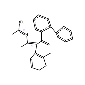 C=C(/C(C1=C(C)CCC=C1)=C(C)\N=C(/C)C(C)(C)C)c1ccccc1-c1ccccc1